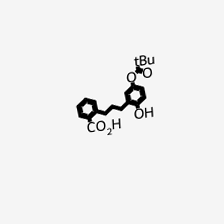 CC(C)(C)C(=O)Oc1ccc(O)c(CCCc2ccccc2C(=O)O)c1